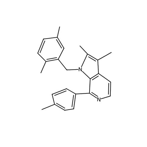 Cc1ccc(-c2nccc3c(C)c(C)n(Cc4cc(C)ccc4C)c23)cc1